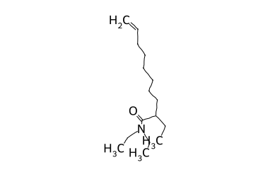 C=CCCCCCCC(CC)C(=O)N(CC)CC